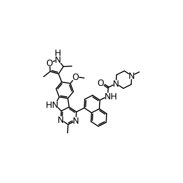 COc1cc2c(cc1C1=C(C)ONC1C)[nH]c1nc(C)nc(-c3ccc(NC(=O)N4CCN(C)CC4)c4ccccc34)c12